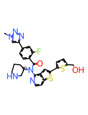 Cn1cc(-c2ccc(C(=O)N(c3nccc4sc(-c5ccc(CO)s5)cc34)[C@@H]3CCCNC3)c(F)c2)nn1